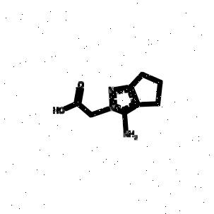 Nc1c2c(nn1CC(=O)O)CCC2